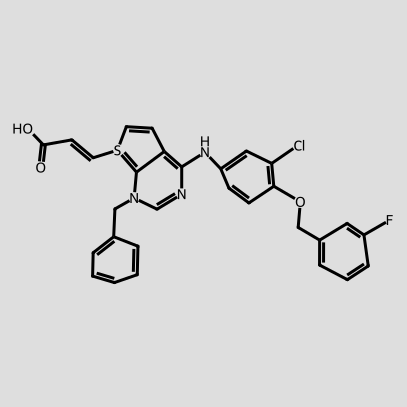 O=C(O)C=CS1=C2C(=C(Nc3ccc(OCc4cccc(F)c4)c(Cl)c3)N=CN2Cc2ccccc2)C=C1